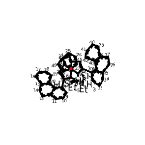 C[CH2][Hf]([CH3])([CH3])(=[SiH2])([CH2]C)([CH]1C(c2cccc3ccc4ccccc4c23)=Cc2ccccc21)[CH]1C(c2cccc3ccc4ccccc4c23)=Cc2ccccc21